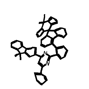 CC1(C)c2ccccc2-c2ccc(-c3cc(-c4ccccc4)nc(-c4ccccc4-c4cccc5c4-c4ccccc4C54c5ccccc5C(C)(C)c5ccccc54)n3)cc21